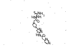 NC(=S)NNC(=O)C[C@@H]1CC[C@H](c2nnc(NC(=O)Cc3ccncn3)s2)C1